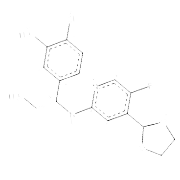 CC[C@@H](Nc1cc(C2OCCO2)c(F)cn1)c1ccc(Cl)c(C)c1